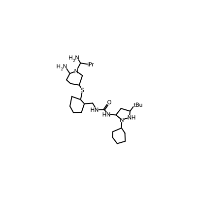 CC(C)C(N)N1CC(SC2CCCCC2CNC(=O)NC2CC(C(C)(C)C)NN2C2CCCCC2)CCC1N